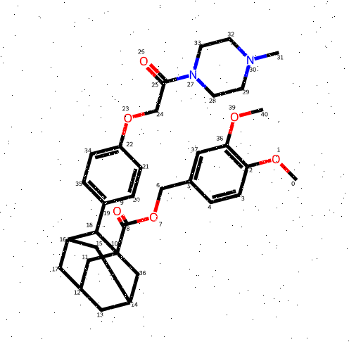 COc1ccc(COC(=O)C23CC4CC(CC(C4)C2c2ccc(OCC(=O)N4CCN(C)CC4)cc2)C3)cc1OC